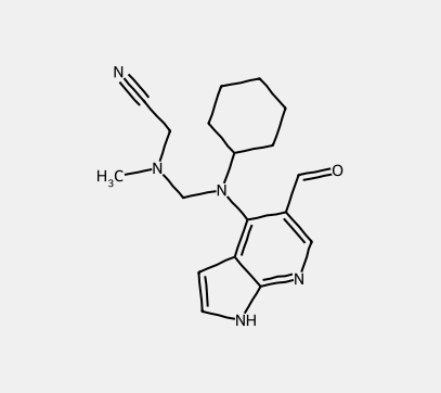 CN(CC#N)CN(c1c(C=O)cnc2[nH]ccc12)C1CCCCC1